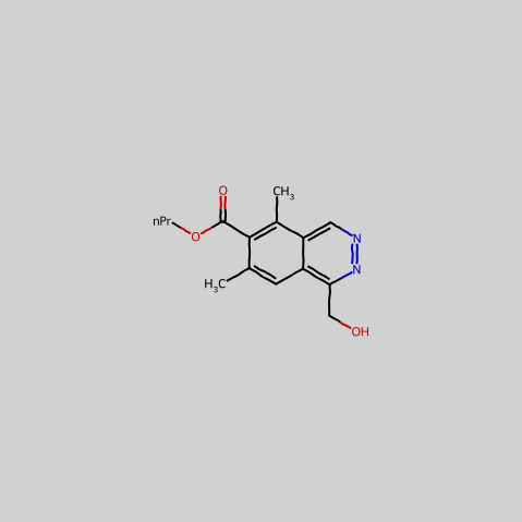 CCCOC(=O)c1c(C)cc2c(CO)nncc2c1C